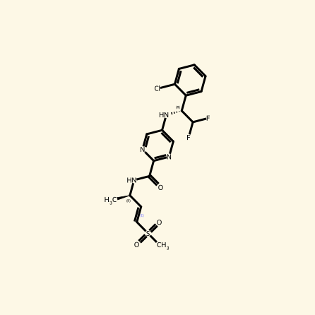 C[C@H](/C=C/S(C)(=O)=O)NC(=O)c1ncc(N[C@H](c2ccccc2Cl)C(F)F)cn1